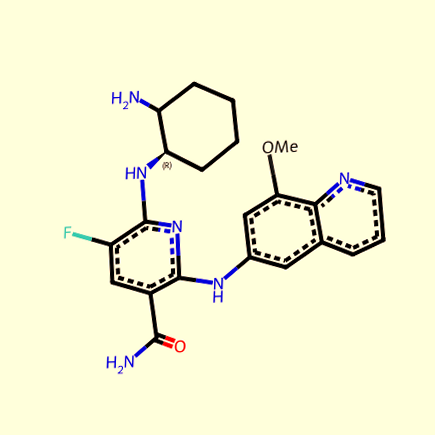 COc1cc(Nc2nc(N[C@@H]3CCCCC3N)c(F)cc2C(N)=O)cc2cccnc12